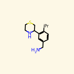 CC(C)c1ccc(CN)cc1C1CSCCN1